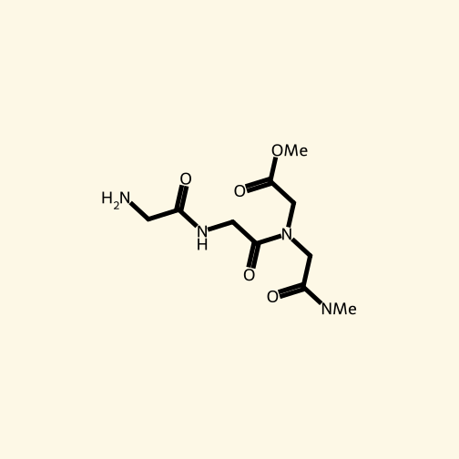 CNC(=O)CN(CC(=O)OC)C(=O)CNC(=O)CN